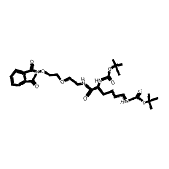 CC(C)(C)OC(=O)NCCCCC(NC(=O)OC(C)(C)C)C(=O)NCCOCCON1C(=O)c2ccccc2C1=O